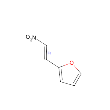 O=[N+]([O-])/C=C/c1ccco1